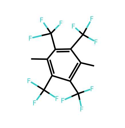 Cc1c(C(F)(F)F)c(C(F)(F)F)c(C)c(C(F)(F)F)c1C(F)(F)F